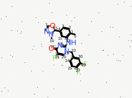 Cc1ccc(C2OC=NN2C)cc1Nc1nc(=O)c(F)cn1Cc1ccc(F)c(F)c1